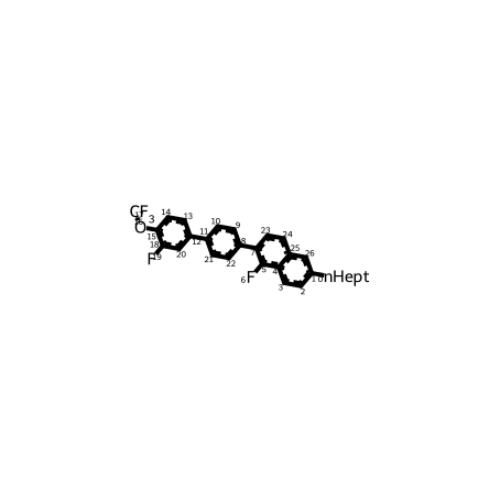 CCCCCCCc1ccc2c(F)c(-c3ccc(-c4ccc(OC(F)(F)F)c(F)c4)cc3)ccc2c1